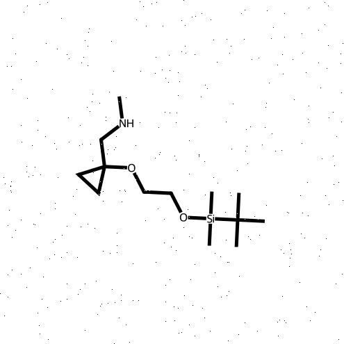 CNCC1(OCCO[Si](C)(C)C(C)(C)C)CC1